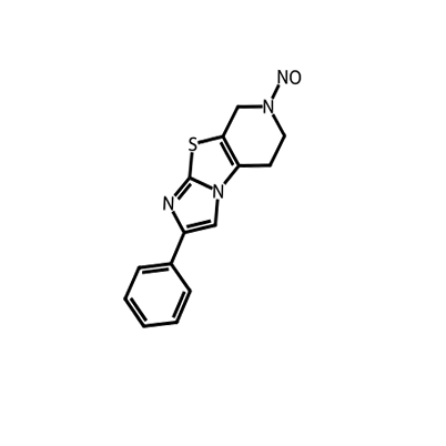 O=NN1CCc2c(sc3nc(-c4ccccc4)cn23)C1